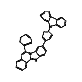 c1ccc(-c2cc3ccccc3c3nc4ccc(-c5ccc(-n6c7ccccc7c7ccccc76)cc5)cc4n23)cc1